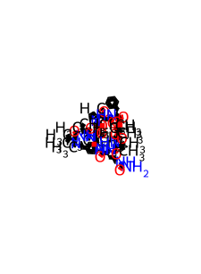 C=C(CC)[C@@H]([C@@H](CC(=O)N1CCC[C@H]1[C@H](OC)[C@@H](C)C(=O)N[C@@H](Cc1ccccc1)C(=O)OC)OC)N(C)C(=O)[C@@H](NC(=O)[C@H](C(C)C)N(C)CCc1ccc(NC(=O)[C@H](CCCNC(N)=O)NC(=O)[C@@H](NC(=O)OC(C)(C)C)C(C)C)cc1)C(C)C